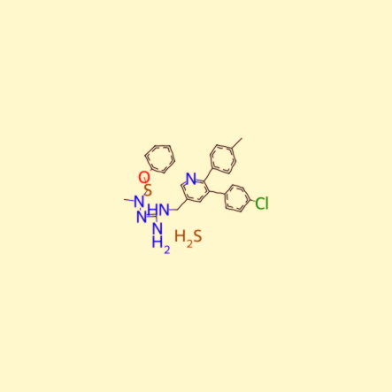 Cc1ccc(-c2ncc(CN/C(N)=N\N(C)SOc3ccccc3)cc2-c2ccc(Cl)cc2)cc1.S